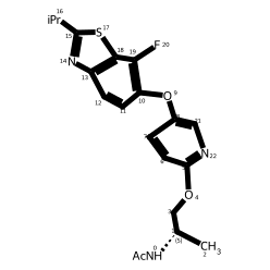 CC(=O)N[C@@H](C)COc1ccc(Oc2ccc3nc(C(C)C)sc3c2F)cn1